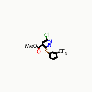 COC(=O)c1cc(Cl)nnc1Sc1cccc(C(F)(F)F)c1